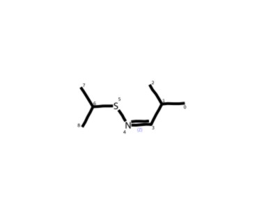 CC(C)/C=N\SC(C)C